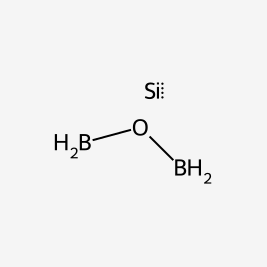 BOB.[Si]